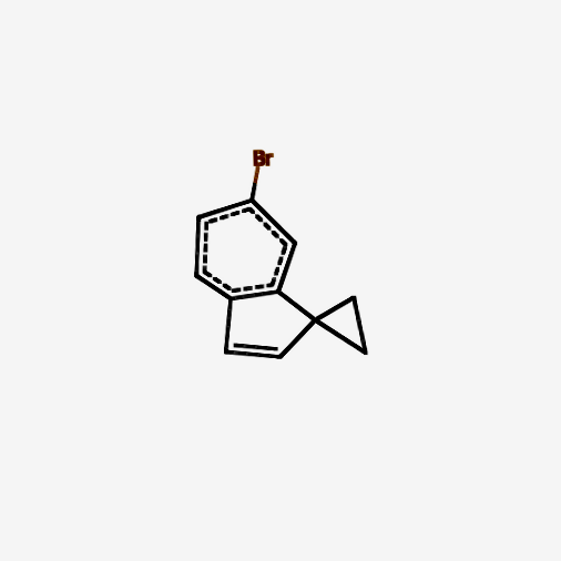 Brc1ccc2c(c1)C1(C=C2)CC1